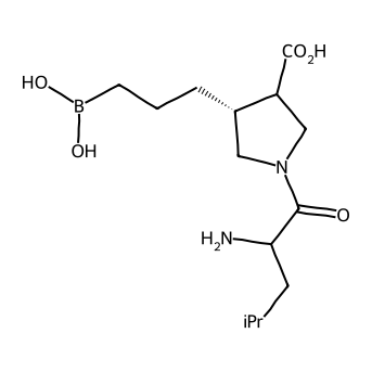 CC(C)CC(N)C(=O)N1CC(C(=O)O)[C@@H](CCCB(O)O)C1